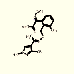 CNC(=O)/C(=N/OC)c1cccc(C)c1CO/N=C(\C)c1cn(C)nc1C(F)(F)F